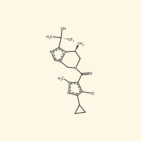 C[C@H]1CN(C(=O)c2c(Cl)c(C3CC3)nn2C)Cc2cnc([C@@](C)(O)C(F)(F)F)n21